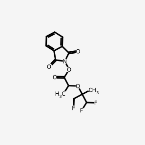 CC(OC(C)(CF)C(F)F)C(=O)ON1C(=O)c2ccccc2C1=O